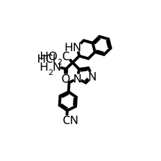 Cl.N#Cc1ccc(Cn2cncc2C(C(N)=O)(C(=O)O)C2Cc3ccccc3CN2)cc1